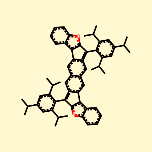 CC(C)c1cc(C(C)C)c(C2=c3cc4cc5c(cc4cc3-c3c2oc2ccccc32)=C(c2c(C(C)C)cc(C(C)C)cc2C(C)C)c2oc3ccccc3c2-5)c(C(C)C)c1